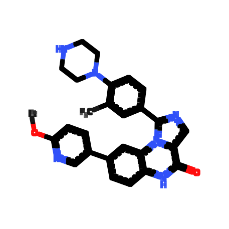 CCOc1ccc(-c2ccc3[nH]c(=O)c4cnc(-c5ccc(N6CCNCC6)c(C(F)(F)F)c5)n4c3c2)cn1